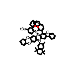 Cc1cc2c(cc1N1c3cc4c(cc3B3c5c1cc1c(oc6ccccc61)c5-c1ccc5oc6ccccc6c5c1N3c1ccc(C(C)(C)C)cc1-c1ccccc1)Oc1ccccc1O4)C(C)(C)CCC2(C)C